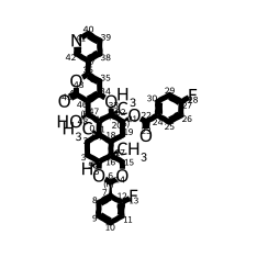 C[C@]12CC[C@@H]3O[C@H](c4ccccc4F)OC[C@@]3(C)C1C[C@H](OC(=O)c1ccc(F)cc1)[C@@]1(C)Oc3cc(-c4cccnc4)oc(=O)c3[C@H](O)C21